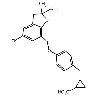 CC1(C)Cc2cc(Cl)cc(COc3ccc(CC4CC4C(=O)O)cc3)c2O1